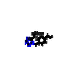 C=Cc1ccc(Cn2nnnc2CCCCCCCCCC)cc1